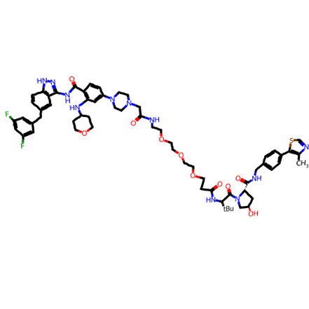 Cc1ncsc1-c1ccc(CNC(=O)[C@@H]2C[C@@H](O)CN2C(=O)C(NC(=O)CCOCCOCCOCCNC(=O)CN2CCN(c3ccc(C(=O)Nc4n[nH]c5ccc(Cc6cc(F)cc(F)c6)cc45)c(NC4CCOCC4)c3)CC2)C(C)(C)C)cc1